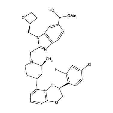 COC(O)c1ccc2nc(CN3CCC(c4cccc5c4O[C@@H](c4ccc(Cl)cc4F)CO5)C[C@@H]3C)n(C[C@@H]3CCO3)c2c1